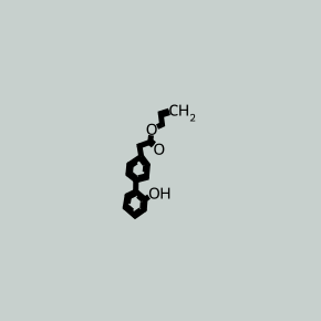 C=CCOC(=O)Cc1ccc(-c2ccccc2O)cc1